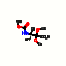 CCC[C@@](CC)(NC(=O)OC(C)(C)C)C(OCC)(OCC)C(=O)O